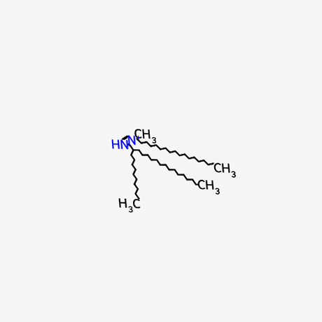 CCCCCCCCCCCCCCCCCC(C)[n+]1cc[nH]c1C(CCCCCCCCCCC)CCCCCCCCCCCCCCC